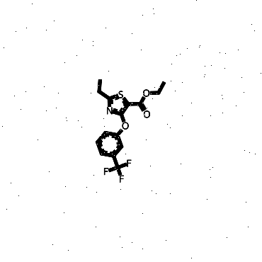 CCOC(=O)c1sc(CC)nc1Oc1cccc(C(F)(F)F)c1